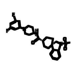 CS(=O)(=O)N1C[C@]2(CC[C@@H](C(=O)NC3CCN(c4cc(F)cc(F)c4)CC3)CC2)c2ccccc21